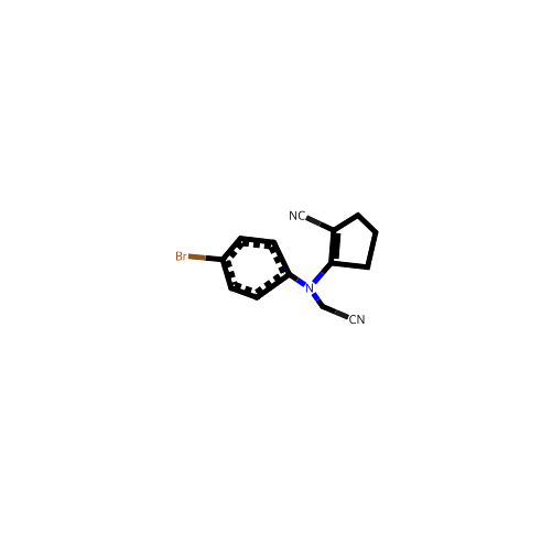 N#CCN(C1=C(C#N)CCC1)c1ccc(Br)cc1